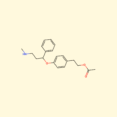 CNCCC(Oc1ccc(CCOC(C)=O)cc1)c1ccccc1